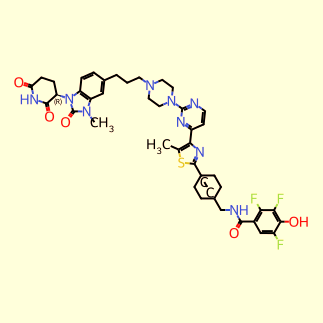 Cc1sc(C23CCC(CNC(=O)c4cc(F)c(O)c(F)c4F)(CC2)CC3)nc1-c1ccnc(N2CCN(CCCc3ccc4c(c3)n(C)c(=O)n4[C@@H]3CCC(=O)NC3=O)CC2)n1